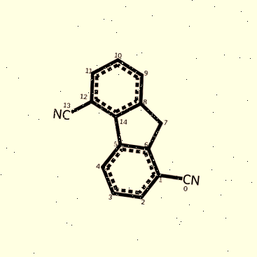 N#Cc1cccc2c1Cc1cccc(C#N)c1-2